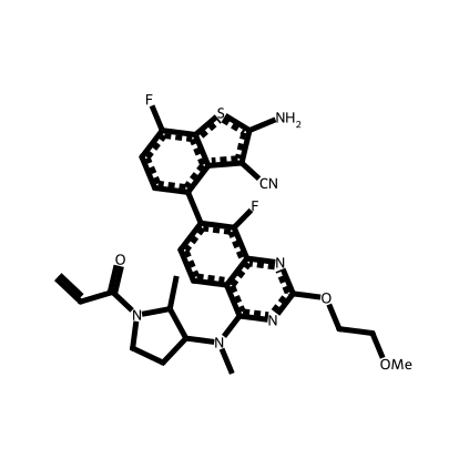 C=CC(=O)N1CCC(N(C)c2nc(OCCOC)nc3c(F)c(-c4ccc(F)c5sc(N)c(C#N)c45)ccc23)C1C